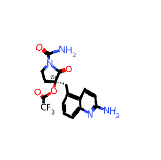 NC(=O)N1CC[C@](Cc2cccc3nc(N)ccc23)(OC(=O)C(F)(F)F)C1=O